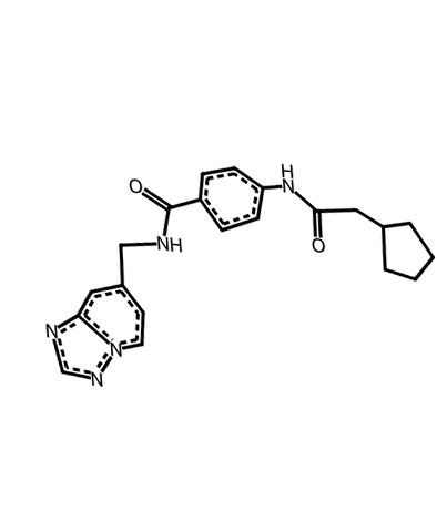 O=C(CC1CCCC1)Nc1ccc(C(=O)NCc2ccn3ncnc3c2)cc1